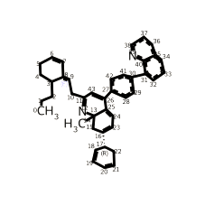 CCCC1CCC=C/C1=C/CC1=NC2(C)CC([C@H]3C=CC=CC3)=CC=C2C(c2ccc(-c3cccc4cccnc34)cc2)=C1